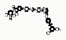 CC(C)(c1ccc(OCc2ccnc(N3CCN(C4CN(C5CCN(c6ccc7c(c6)C(=O)N(C6CCC(=O)NC6=O)C7=O)CC5)C4)CC3)n2)cc1)c1cc(Cl)cc(C#N)c1